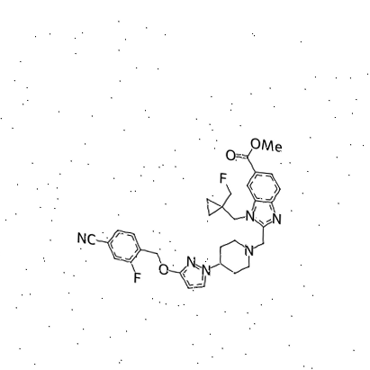 COC(=O)c1ccc2nc(CN3CCC(n4ccc(OCc5ccc(C#N)cc5F)n4)CC3)n(CC3(CF)CC3)c2c1